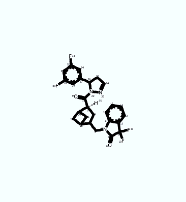 O=C([C@H]1CC(CN2C(=O)C(F)(F)c3ccccc32)C2CC1C2)N1N=CCC1c1cc(F)cc(F)c1